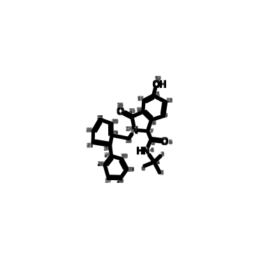 CC(C)(C)NC(=O)C1c2ccc(O)cc2C(=O)N1Cc1ccccc1-c1ccccc1